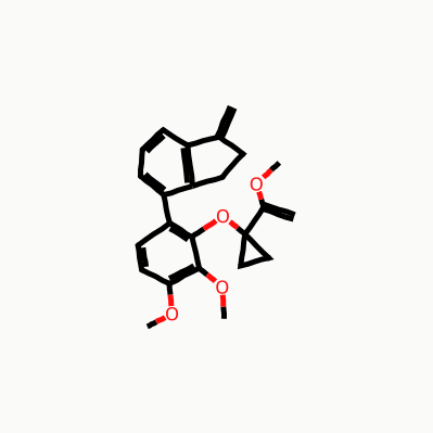 C=C1CCc2c1cccc2-c1ccc(OC)c(OC)c1OC1(C(=C)OC)CC1